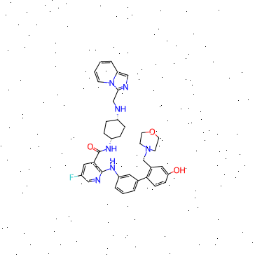 O=C(N[C@H]1CC[C@@H](NCc2ncc3ccccn23)CC1)c1cc(F)cnc1Nc1cccc(-c2ccc(O)cc2CN2CCOCC2)c1